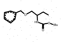 CC(C)(C)OC(=O)NC(CI)COCc1ccccc1